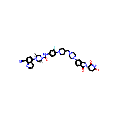 C[C@@H]1CN(c2ccc(C#N)c3ncccc23)[C@@H](C)CN1C(=O)Nc1ccc(N2CCC(CN3CCN(c4ccc5c(c4)CN([C@H]4CCC(=O)NC4=O)C5=O)CC3)CC2)c(F)c1